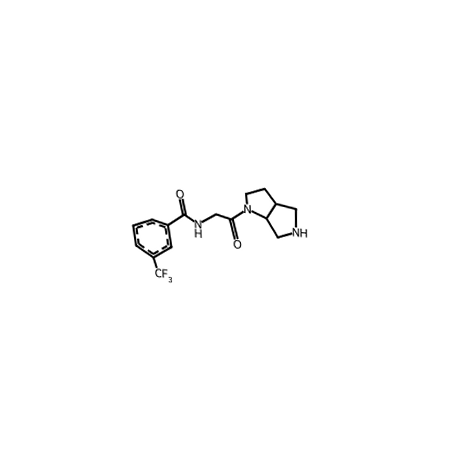 O=C(NCC(=O)N1CCC2CNCC21)c1cccc(C(F)(F)F)c1